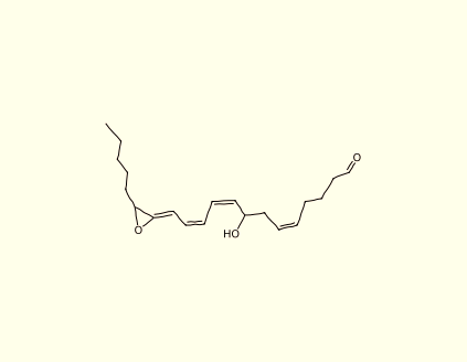 CCCCCC1O\C1=C/C=C\C=C/C(O)C/C=C\CCCC=O